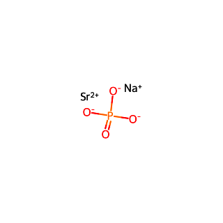 O=P([O-])([O-])[O-].[Na+].[Sr+2]